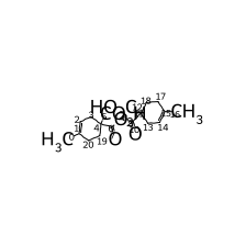 CC1=CCC(C(=O)O)(C(=O)OC(=O)C2(C(=O)O)CC=C(C)CC2)CC1